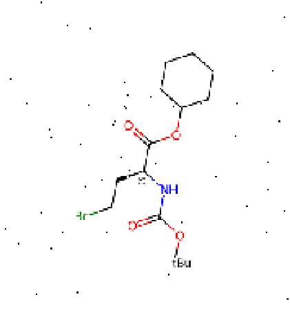 CC(C)(C)OC(=O)N[C@@H](CCBr)C(=O)OC1CCCCC1